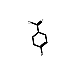 O=C(Cl)C1CC=C(F)CC1